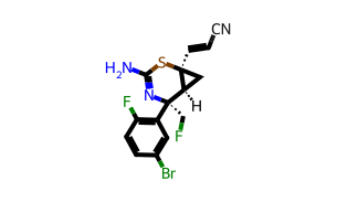 N#C/C=C/[C@]12C[C@H]1[C@@](CF)(c1cc(Br)ccc1F)N=C(N)S2